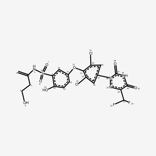 C=C(CCO)NS(=O)(=O)c1cc(Oc2c(Cl)cc(-n3nc(C(F)F)c(=O)[nH]c3=O)cc2Cl)ccc1O